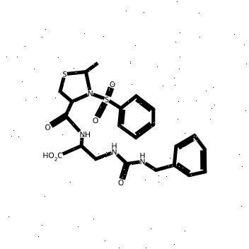 CC1SCC(C(=O)NC(CNC(=O)NCc2ccccc2)C(=O)O)N1S(=O)(=O)c1ccccc1